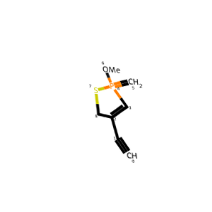 C#CC1=CP(=C)(OC)SC1